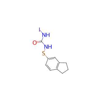 O=C(NI)NSc1ccc2c(c1)CCC2